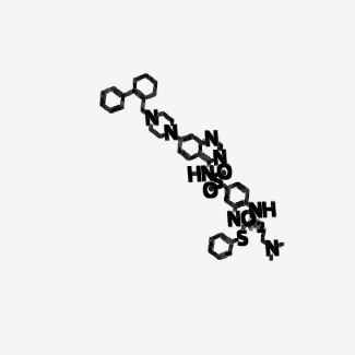 CN(C)CC[C@H](CSc1ccccc1)Nc1ccc(S(=O)(=O)Nc2ncnc3cc(N4CCN(CC5=C(c6ccccc6)CCCC5)CC4)ccc23)cc1[N+](=O)[O-]